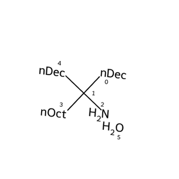 CCCCCCCCCCC(N)(CCCCCCCC)CCCCCCCCCC.O